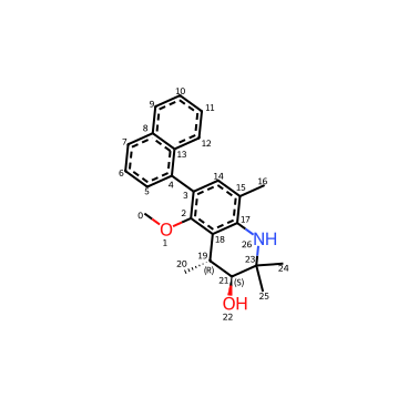 COc1c(-c2cccc3ccccc23)cc(C)c2c1[C@@H](C)[C@H](O)C(C)(C)N2